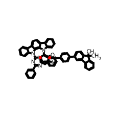 CC1(C)c2ccccc2-c2cc(-c3ccc(-c4nc5cccc(-n6c7ccccc7c7ccc8c9ccccc9n(-c9nc(-c%10ccccc%10)nc(-c%10ccccc%10)n9)c8c76)c5o4)cc3)ccc21